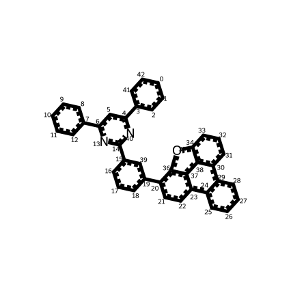 c1ccc(-c2cc(-c3ccccc3)nc(-c3cccc(-c4ccc5c6ccccc6c6cccc7oc4c5c76)c3)n2)cc1